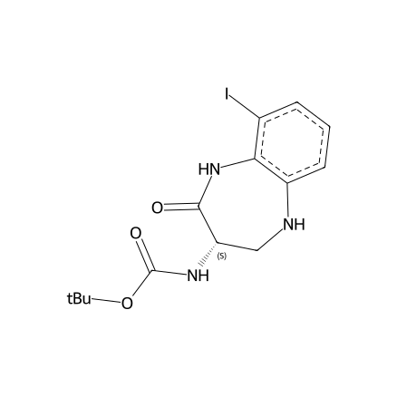 CC(C)(C)OC(=O)N[C@H]1CNc2cccc(I)c2NC1=O